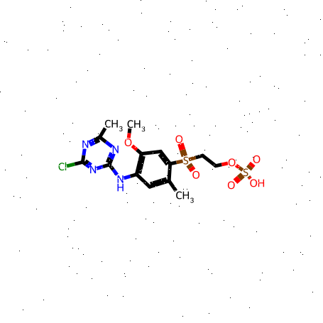 COc1cc(S(=O)(=O)CCOS(=O)(=O)O)c(C)cc1Nc1nc(C)nc(Cl)n1